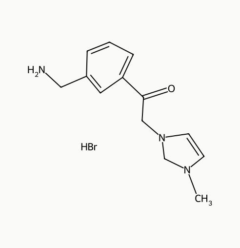 Br.CN1C=CN(CC(=O)c2cccc(CN)c2)C1